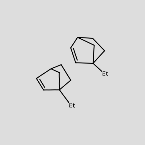 CCC12C=CC(CC1)C2.CCC12C=CC(CC1)C2